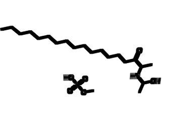 CCCCCCCCCCCCCCCC(=O)C(C)NC(C)O.COS(=O)(=O)O